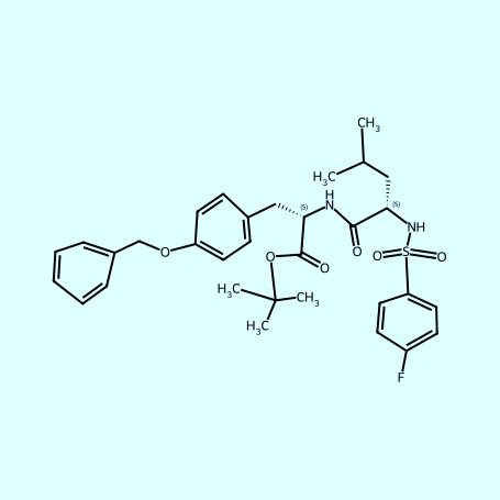 CC(C)C[C@H](NS(=O)(=O)c1ccc(F)cc1)C(=O)N[C@@H](Cc1ccc(OCc2ccccc2)cc1)C(=O)OC(C)(C)C